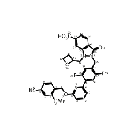 COc1cc(C#N)ccc1COc1cccc(-c2cc(F)c(Cn3c(=O)c4ccc(C(=O)O)cc4n3CC3CCO3)cc2F)n1